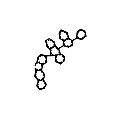 c1ccc(-c2ccc(-c3c4ccccc4c(-c4ccc5oc6cc7ccccc7cc6c5c4)c4ccccc34)c3ccccc23)cc1